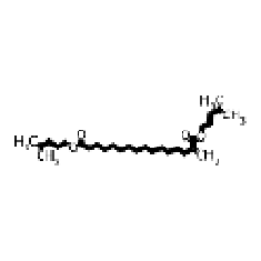 CC(C)CCCOC(=O)CCCCCCCCCCCCCC(C)C(=O)OCCCC(C)C